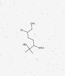 CCCCCCC(CCC(CC)COC(C)=O)C(C)(C)CCCC